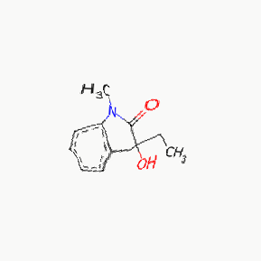 CCC1(O)C(=O)N(C)c2ccccc21